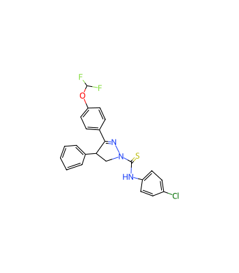 FC(F)Oc1ccc(C2=NN(C(=S)Nc3ccc(Cl)cc3)CC2c2ccccc2)cc1